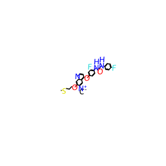 [C-]#[N+]c1cc2c(Oc3ccc(NC(=O)Nc4ccc(F)cc4)c(F)c3)ccnc2cc1OCCCSC